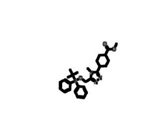 COC(=O)C1CCC(c2nnc(CO[Si](c3ccccc3)(c3ccccc3)C(C)(C)C)n2C)CC1